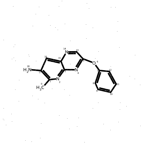 Cc1nc2nc(Oc3ccccc3)cnc2cc1N